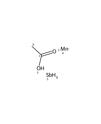 CC(=O)O.[Mn].[SbH3]